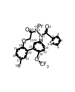 CC(C)N(NC(=O)c1cccs1)C(=O)COc1ccc(F)cc1-c1ccccc1OC(F)(F)F